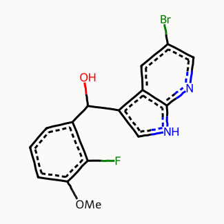 COc1cccc(C(O)c2c[nH]c3ncc(Br)cc23)c1F